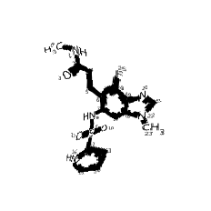 CNC(=O)C=Cc1c(NS(=O)(=O)c2ccc[nH]2)cc2c(ncn2C)c1F